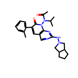 CC(=O)N(C(C)C)n1c(=O)c(-c2ccccc2C)cc2cnc(NN3CC4CCCC4C3)nc21